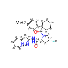 COc1ccc(C2(C(=O)N3C[C@H](F)C[C@@H]3C(=O)Nc3cc4ccccn4n3)CCCCC2)cc1